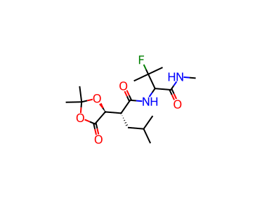 CNC(=O)C(NC(=O)[C@H](CC(C)C)[C@@H]1OC(C)(C)OC1=O)C(C)(C)F